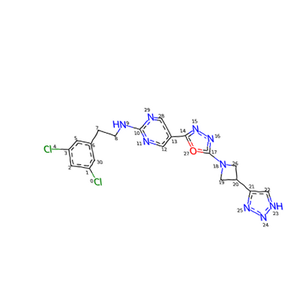 Clc1cc(Cl)cc(CCNc2ncc(-c3nnc(N4CC(c5c[nH]nn5)C4)o3)cn2)c1